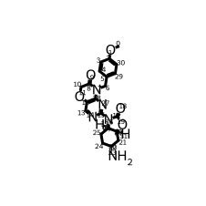 COc1ccc(CN2C(=O)COc3cnc(N4C(=O)O[C@@H]5C[C@H](N)CC[C@H]54)nc32)cc1